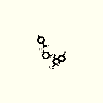 O=C(N[C@@H]1CCC[C@H](Nc2cc(C(F)(F)F)nc3ccc(F)cc23)C1)c1ccc(F)cc1